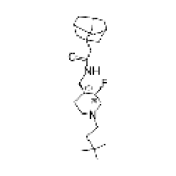 CC(C)(C)CCN1CC[C@@H](CNC(=O)CC23CC4CC(CC(C4)C2)C3)[C@@H](F)C1